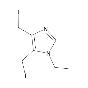 CCn1cnc(CI)c1CI